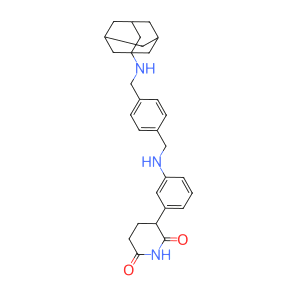 O=C1CCC(c2cccc(NCc3ccc(CNC45CC6CC(CC(C6)C4)C5)cc3)c2)C(=O)N1